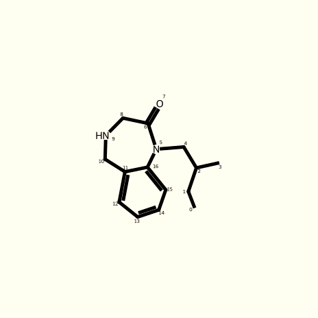 CCC(C)CN1C(=O)CNCc2ccccc21